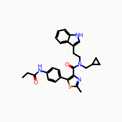 CCC(=O)Nc1ccc(-c2sc(C)nc2C(=O)N(CCc2c[nH]c3ccccc23)CC2CC2)cc1